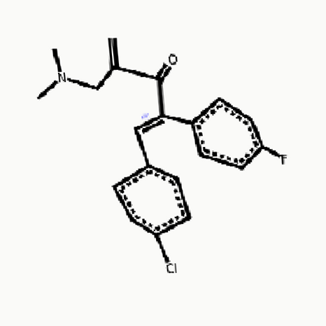 C=C(CN(C)C)C(=O)/C(=C/c1ccc(Cl)cc1)c1ccc(F)cc1